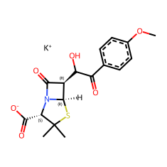 COc1ccc(C(=O)C(O)[C@@H]2C(=O)N3[C@@H]2SC(C)(C)[C@@H]3C(=O)[O-])cc1.[K+]